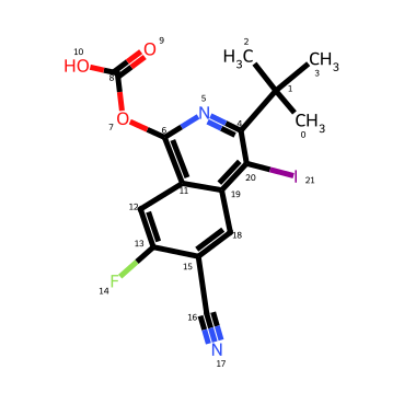 CC(C)(C)c1nc(OC(=O)O)c2cc(F)c(C#N)cc2c1I